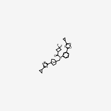 O=C(C1CC(F)(F)C1)N(CC12CCC(c3nc(C4CC4)no3)(CC1)OC2)c1cccc(-c2nc(C3CC3)no2)c1